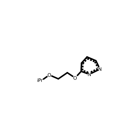 CC(C)OCCOc1cccnn1